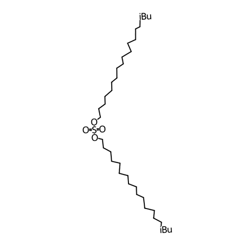 CCC(C)CCCCCCCCCCCCCCCOS(=O)(=O)OCCCCCCCCCCCCCCCC(C)CC